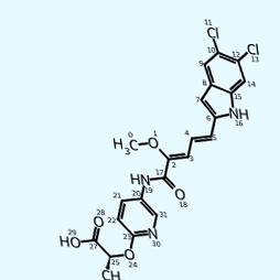 CO/C(=C\C=C\c1cc2cc(Cl)c(Cl)cc2[nH]1)C(=O)Nc1ccc(O[C@@H](C)C(=O)O)nc1